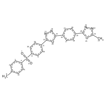 Cc1ccc(S(=O)(=O)c2ccc(-c3nnc(-c4ccc(-c5nnc(C)o5)cc4)o3)cc2)cc1